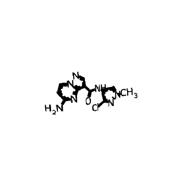 Cn1cc(NC(=O)c2cnn3ccc(N)nc23)c(Cl)n1